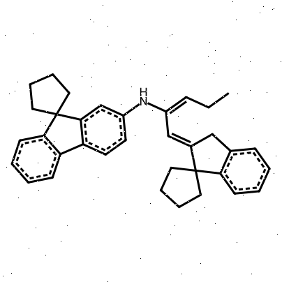 CC/C=C(\C=C1/Cc2ccccc2C12CCCC2)Nc1ccc2c(c1)C1(CCCC1)c1ccccc1-2